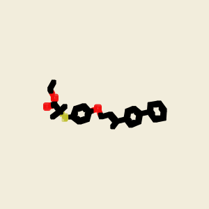 CCOC(=O)C(C)(C)Sc1ccc(OC/C=C(\C)c2ccc(-c3ccccc3)cc2)cc1